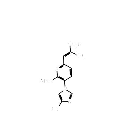 COc1nc(C=C(C)C(=O)O)ccc1-n1cnc(C)c1